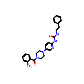 O=C(NCCc1ccccc1)Nc1ccc(N2CCN(C(=O)c3ccccc3C(F)(F)F)CC2)cn1